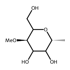 CO[C@H]1C(CO)O[C@H](C)C(O)C1O